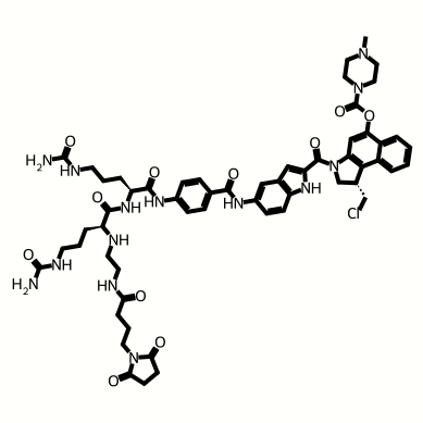 CN1CCN(C(=O)Oc2cc3c(c4ccccc24)[C@H](CCl)CN3C(=O)c2cc3cc(NC(=O)c4ccc(NC(=O)[C@H](CCCNC(N)=O)NC(=O)[C@H](CCCNC(N)=O)NCCNC(=O)CCCN5C(=O)CCC5=O)cc4)ccc3[nH]2)CC1